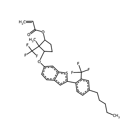 C=CC(=O)OC1CCC(Oc2ccc3cc(-c4ccc(CCCCC)cc4C(F)(F)F)sc3c2)C1(C)C(F)(F)F